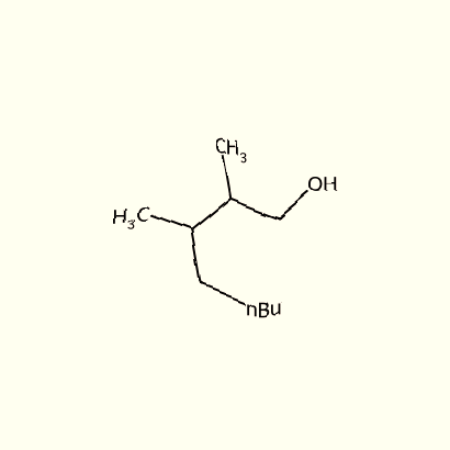 CCCCCC(C)C(C)CO